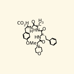 COc1ccc(C[C@H](NC(=O)[C@H](C)NC(=O)[C@H](CCc2ccccc2)NC(=O)CN2CCOCC2)C(=O)O)cc1